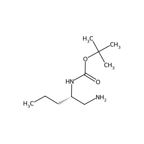 CCC[C@@H](CN)NC(=O)OC(C)(C)C